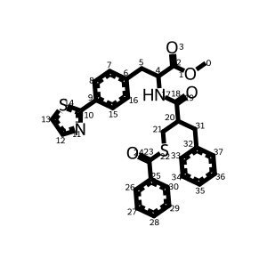 COC(=O)C(Cc1ccc(-c2nccs2)cc1)NC(=O)C(CSC(=O)c1ccccc1)Cc1ccccc1